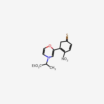 CCOC(=O)C(C)N1C=COC(C2=C([N+](=O)[O-])C=CC(=S)C2)=C1